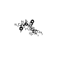 CCNC(=O)[C@@H](NC(=O)[C@H](C)NC[C@H](Cc1ccccc1)NC(=O)c1cc(Br)cc(C(=O)NC(C)c2ccc(F)cc2)c1)C(C)C